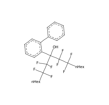 CCCCCCC(F)(F)C(F)(F)C(O)(c1ccccc1-c1ccccc1)C(F)(F)C(F)(F)CCCCCC